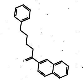 O=C(CCCCc1ccccc1)c1ccc2ccccc2c1